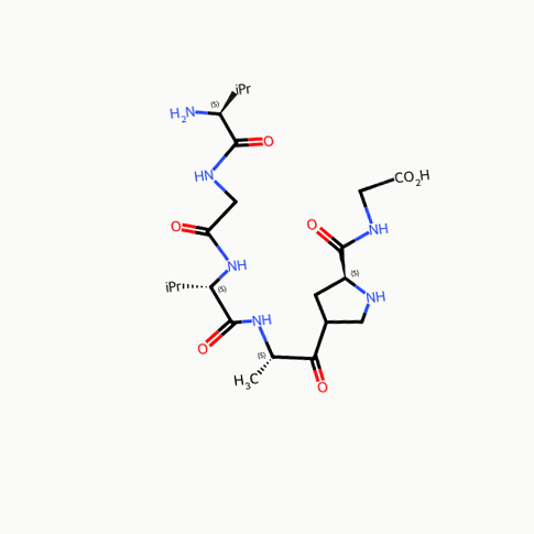 CC(C)[C@H](N)C(=O)NCC(=O)N[C@H](C(=O)N[C@@H](C)C(=O)C1CN[C@H](C(=O)NCC(=O)O)C1)C(C)C